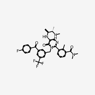 C=C(Nc1cnc(-c2cccc(C(=O)N(C)C)c2C)n(Cc2cc(C(=O)c3ccc(F)cc3)cc(C(F)(F)F)c2)c1=O)[C@H](C)NC